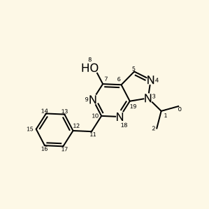 CC(C)n1ncc2c(O)nc(Cc3ccccc3)nc21